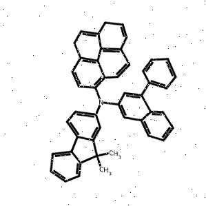 CC1(C)c2ccccc2-c2ccc(N(c3cc(-c4ccccc4)c4ccccc4c3)c3ccc4c5c6c(ccc35)C=CCC6=CC4)cc21